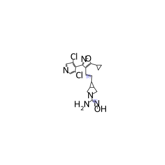 N/C(=N\O)N1CC2C(/C=C/c3c(-c4c(Cl)cncc4Cl)noc3C3CC3)C2C1